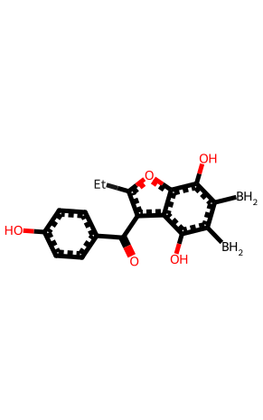 Bc1c(B)c(O)c2c(C(=O)c3ccc(O)cc3)c(CC)oc2c1O